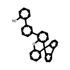 N#Cc1ccccc1-c1cccc(-c2cccc3c2Oc2ccccc2C32c3ccccc3-c3ccccc32)c1